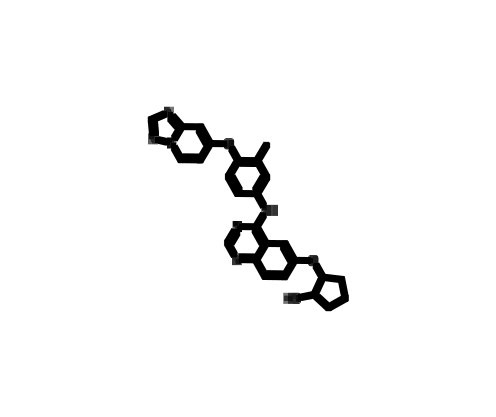 Cc1cc(Nc2ncnc3ccc(OC4CCCC4O)cc23)ccc1Oc1ccn2ncnc2c1